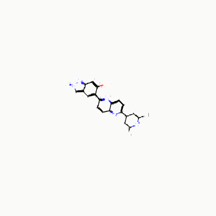 CC1CC(c2ccc3nc(-c4cc5cn(C)nc5cc4O)ccc3n2)CC(C)N1